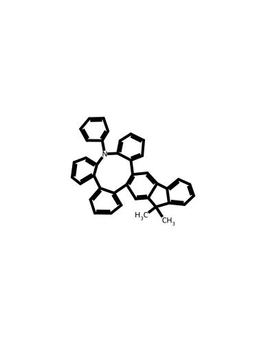 CC1(C)c2ccccc2-c2cc3c(cc21)c1ccccc1c1ccccc1n(-c1ccccc1)c1ccccc31